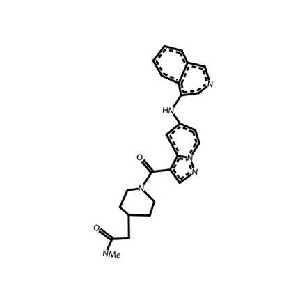 CNC(=O)CC1CCN(C(=O)c2cnn3ccc(Nc4cncc5ccccc45)cc23)CC1